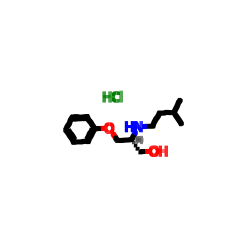 CC(C)CCN[C@H](CO)COc1ccccc1.Cl